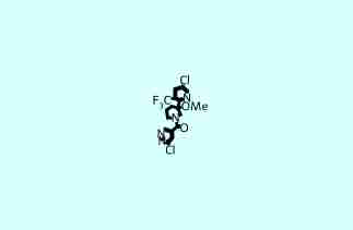 COC1(c2ncc(Cl)cc2C(F)(F)F)CCCN(C(=O)c2cnnc(Cl)c2)C1